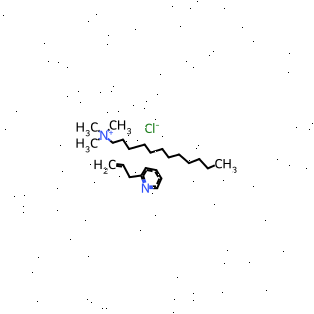 C=CCc1ccccn1.CCCCCCCCCCCC[N+](C)(C)C.[Cl-]